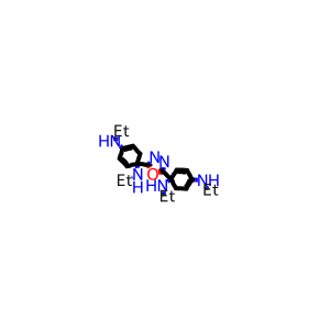 CCNC1=CCC(NCC)(c2nnc(C3(NCC)C=CC(NCC)=CC3)o2)C=C1